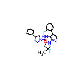 CC1(F)CCN(c2nccc(-c3ccccc3F)c2NC(=O)N2CCC(c3ccccc3)C2)C1